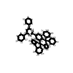 c1ccc(-c2cc(-c3ccccc3)nc(-c3ccc4c(c3)C3(c5ccccc5-c5ccccc53)c3ccccc3C4(c3ccccc3)c3ccccc3)n2)cc1